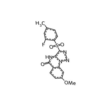 COc1ccc2c(=O)[nH]c3c(S(=O)(=O)c4ccc(C)cc4F)nnn3c2c1